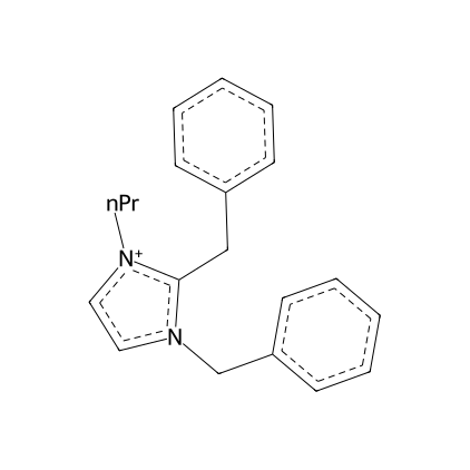 CCC[n+]1ccn(Cc2ccccc2)c1Cc1ccccc1